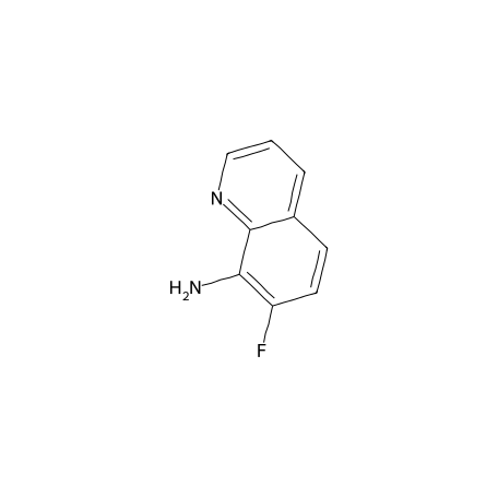 Nc1c(F)ccc2cccnc12